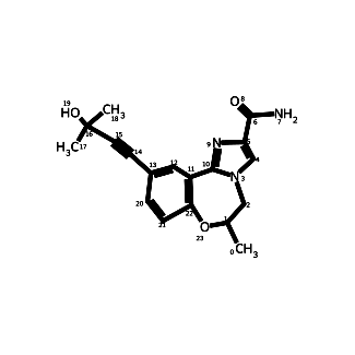 CC1Cn2cc(C(N)=O)nc2-c2cc(C#CC(C)(C)O)ccc2O1